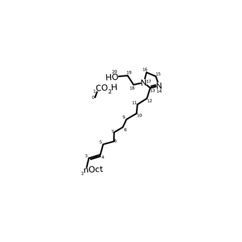 CC(=O)O.CCCCCCCCC=CCCCCCCCCC1=NCCN1CCO